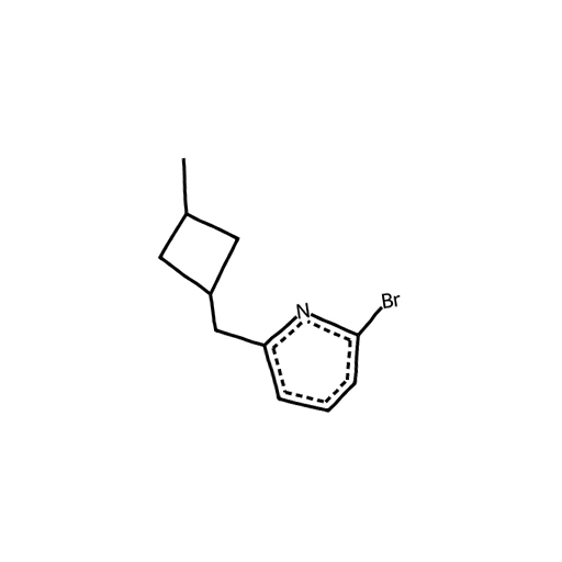 CC1CC(Cc2cccc(Br)n2)C1